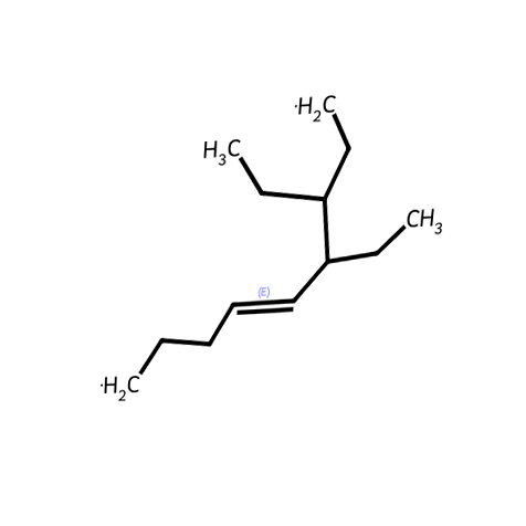 [CH2]CC/C=C/C(CC)C(C[CH2])CC